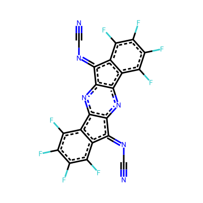 N#C/N=c1/c2nc3c(nc2c2c(F)c(F)c(F)c(F)c12)/c(=N/C#N)c1c(F)c(F)c(F)c(F)c13